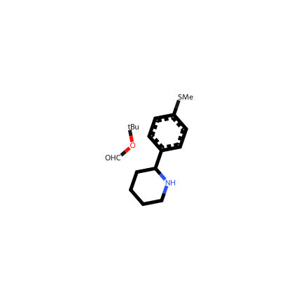 CC(C)(C)OC=O.CSc1ccc(C2CCCCN2)cc1